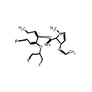 C/C=N\C1C=CN(C)C1C(=N)NC(=C/CC)/C(=C\CF)OC(CF)CF